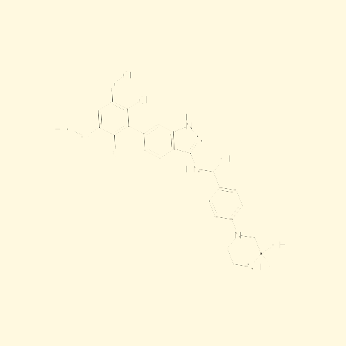 COc1cc(OC)c(Cl)c(-c2ccc3c(NC(O)c4ccc(N5CCNC(C)(C)C5)cc4)n[nH]c3c2)c1Cl